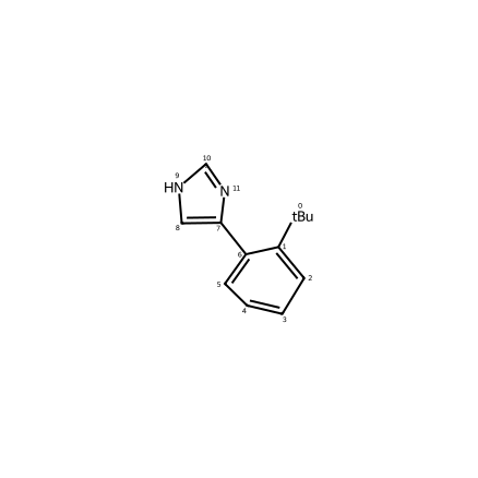 CC(C)(C)c1ccccc1-c1c[nH][c]n1